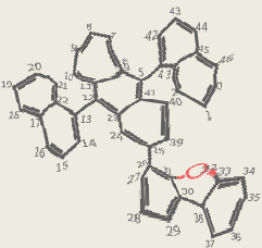 c1ccc2c(-c3c4ccccc4c(-c4cccc5ccccc45)c4cc(-c5cccc6c5oc5ccccc56)ccc34)cccc2c1